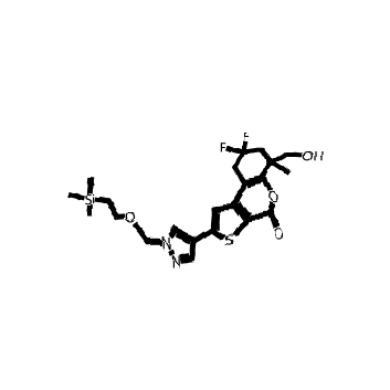 CC1(CO)CC(F)(F)Cc2c1oc(=O)c1sc(-c3cnn(COCC[Si](C)(C)C)c3)cc21